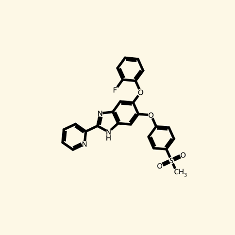 CS(=O)(=O)c1ccc(Oc2cc3[nH]c(-c4ccccn4)nc3cc2Oc2ccccc2F)cc1